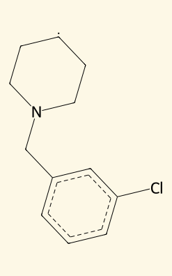 Clc1cccc(CN2CC[CH]CC2)c1